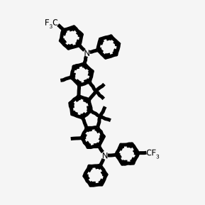 Cc1cc(N(c2ccccc2)c2ccc(C(F)(F)F)cc2)cc2c1-c1ccc3c(c1C2(C)C)C(C)(C)c1cc(N(c2ccccc2)c2ccc(C(F)(F)F)cc2)cc(C)c1-3